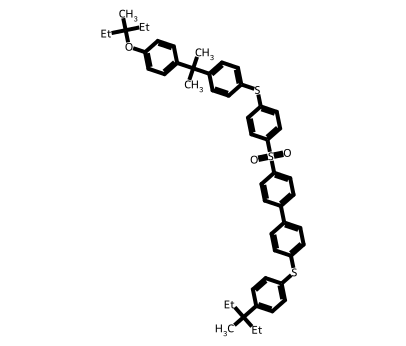 CCC(C)(CC)Oc1ccc(C(C)(C)c2ccc(Sc3ccc(S(=O)(=O)c4ccc(-c5ccc(Sc6ccc(C(C)(CC)CC)cc6)cc5)cc4)cc3)cc2)cc1